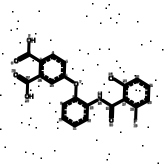 O=C(O)c1ccc(Oc2ccccc2NC(=O)c2c(F)cccc2Cl)cc1C(=O)O